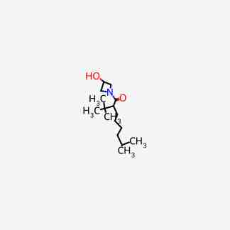 CC(C)CCCCC(C(=O)N1CC(O)C1)C(C)(C)C